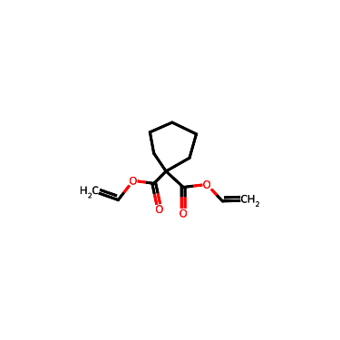 C=COC(=O)C1(C(=O)OC=C)CCCCC1